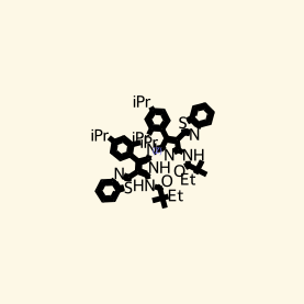 CCC(C)(C)C(=O)NC1=N/C(=N\c2[nH]c(NC(=O)C(C)(C)CC)c(-c3nc4ccccc4s3)c2-c2ccc(C(C)C)cc2C(C)C)C(c2ccc(C(C)C)cc2C(C)C)=C1c1nc2ccccc2s1